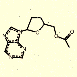 CC(=O)OCC1CCC(n2cnc3cncnc32)O1